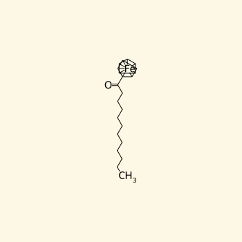 CCCCCCCCCCCC(=O)[C]12[CH]3[CH]4[CH]5[CH]1[Fe]45321678[CH]2[CH]1[CH]6[CH]7[CH]28